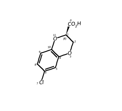 O=C(O)[C@H]1COc2cc(Cl)ccc2O1